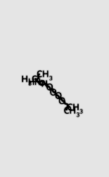 CCCC(C)NC1CCN(CCOCCOCCOCCOCCCC(C)CC)CC1